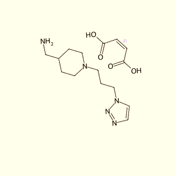 NCC1CCN(CCCn2ccnn2)CC1.O=C(O)/C=C\C(=O)O